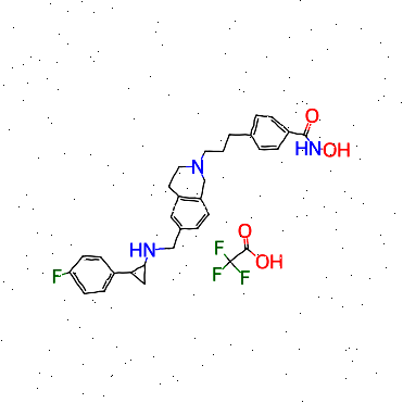 O=C(NO)c1ccc(CCCN2CCc3cc(CNC4CC4c4ccc(F)cc4)ccc3C2)cc1.O=C(O)C(F)(F)F